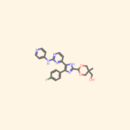 CC1(CO)COC(c2nc(-c3ccc(F)cc3)c(-c3ccnc(Nc4ccncc4)n3)[nH]2)OC1